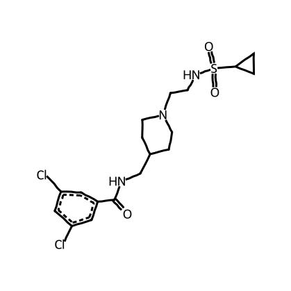 O=C(NCC1CCN(CCNS(=O)(=O)C2CC2)CC1)c1cc(Cl)cc(Cl)c1